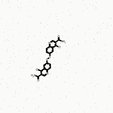 NC(=O)c1cnc2ccc(SSc3ccc4ncc(C(N)=O)c(Cl)c4c3)cc2c1Cl